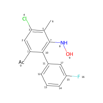 CC(=O)c1cc(Cl)c(C)c(NO)c1-c1cccc(F)c1